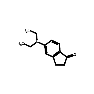 CCN(CC)c1ccc2c(c1)CCC2=O